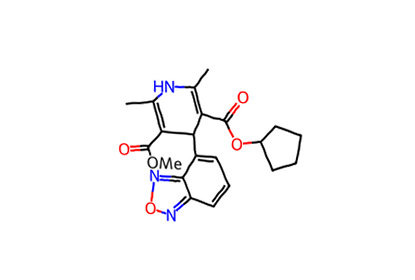 COC(=O)C1=C(C)NC(C)=C(C(=O)OC2CCCC2)C1c1cccc2nonc12